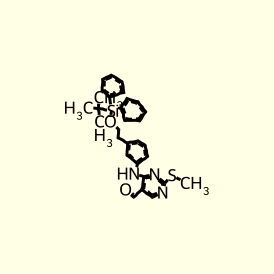 CSc1ncc(C=O)c(Nc2cccc(CCO[Si](c3ccccc3)(c3ccccc3)C(C)(C)C)c2)n1